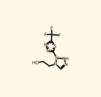 OCCN1[C]=NNN1c1nnc(C(F)(F)F)s1